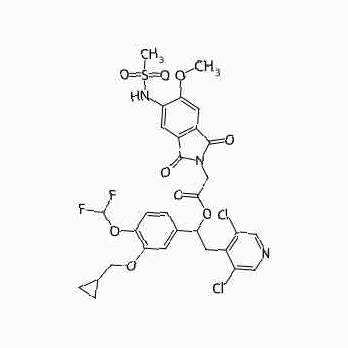 COc1cc2c(cc1NS(C)(=O)=O)C(=O)N(CC(=O)OC(Cc1c(Cl)cncc1Cl)c1ccc(OC(F)F)c(OCC3CC3)c1)C2=O